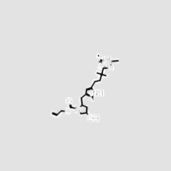 C=CCOC(=O)N1CC(O)CC1Cc1cc(CCC(C)(C)C(O[SiH2]C)O[SiH2]C)[nH]n1